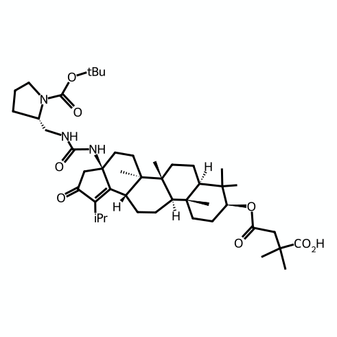 CC(C)C1=C2[C@H]3CC[C@@H]4[C@@]5(C)CC[C@H](OC(=O)CC(C)(C)C(=O)O)C(C)(C)[C@@H]5CC[C@@]4(C)[C@]3(C)CC[C@@]2(NC(=O)NC[C@@H]2CCCN2C(=O)OC(C)(C)C)CC1=O